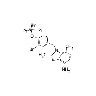 Cc1ccc(N)c2cc(C)n(Cc3ccc(O[Si](C(C)C)(C(C)C)C(C)C)c(Br)c3)c12